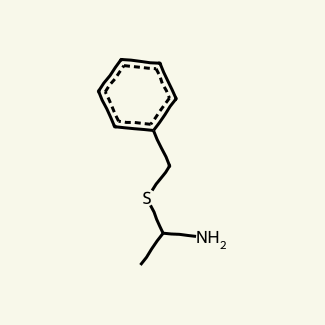 CC(N)SCc1ccccc1